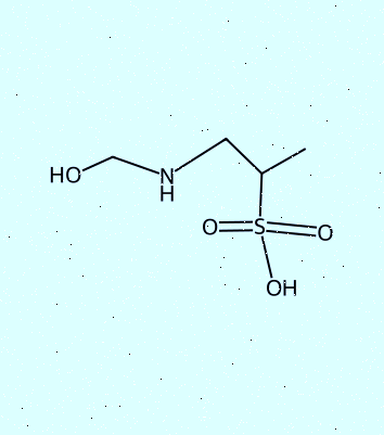 CC(CNCO)S(=O)(=O)O